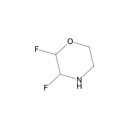 F[C]1OCCNC1F